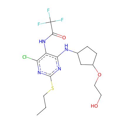 CCCSc1nc(Cl)c(NC(=O)C(F)(F)F)c(NC2CCC(OCCO)C2)n1